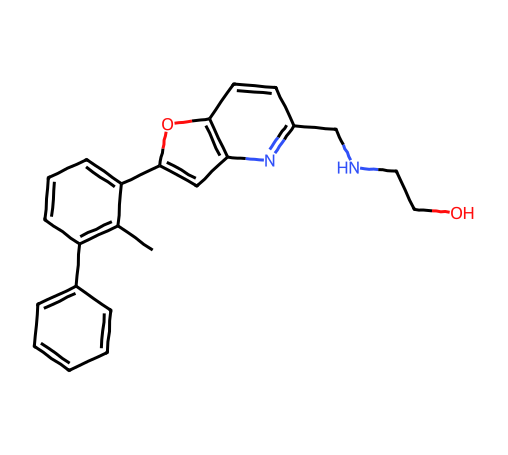 Cc1c(-c2ccccc2)cccc1-c1cc2nc(CNCCO)ccc2o1